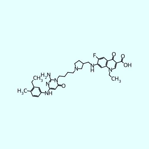 CCc1cc(Nc2cc(=O)n(CCCCN3CCC(CNc4cc5c(cc4F)c(=O)c(C(=O)O)cn5CC)C3)c(N)n2)ccc1C